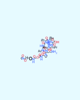 CCCC(NC(=O)C(NC(=O)C(NC(=O)C(NC(=O)CNC(=O)CN(C)C(C)=O)C(C)C)C(C)CC)C(C)O)C(=O)NC(C(=O)NC(CCCN)C(=O)N1CCCC1C(=O)NC(=O)COCC(=O)Nc1ccc(C(C)(C)C(C)C(=O)N2CCC2=O)cc1)C(C)CC